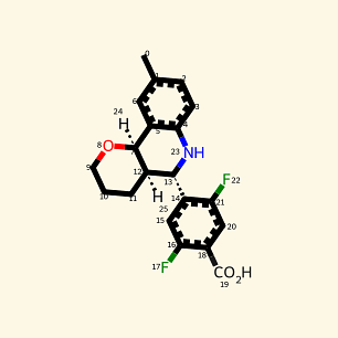 Cc1ccc2c(c1)[C@@H]1OCCC[C@@H]1[C@@H](c1cc(F)c(C(=O)O)cc1F)N2